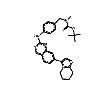 CN(Cc1ccc(Nc2ncc3ccc(-c4cnc5n4CCCC5)cc3n2)cc1)C(=O)OC(C)(C)C